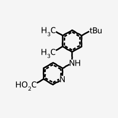 Cc1cc(C(C)(C)C)cc(Nc2ccc(C(=O)O)cn2)c1C